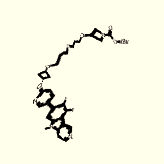 Cn1c2ccncc2c2c(F)c(F)c(-c3ccc(O[C@H]4C[C@H](OCCCOCCCOC5CN(C(=O)OC(C)(C)C)C5)C4)nc3)cc21